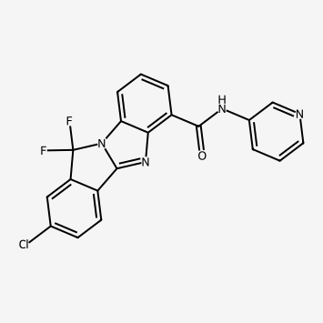 O=C(Nc1cccnc1)c1cccc2c1nc1n2C(F)(F)c2cc(Cl)ccc2-1